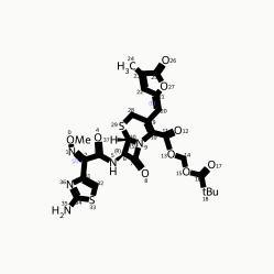 CO/N=C(\C(=O)N[C@@H]1C(=O)N2C(C(=O)OCOC(=O)C(C)(C)C)=C(/C=C3\C=C(C)C(=O)O3)CS[C@@H]12)c1csc(N)n1